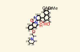 COc1cc2cc(CO)c(CO)c(-c3ccnc(-n4ccc5c(OCCN6CCCCC6)cccc5c4=O)c3)c2cc1OC